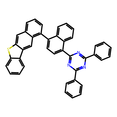 c1ccc(-c2nc(-c3ccccc3)nc(-c3ccc(-c4cccc5cc6sc7ccccc7c6cc45)c4ccccc34)n2)cc1